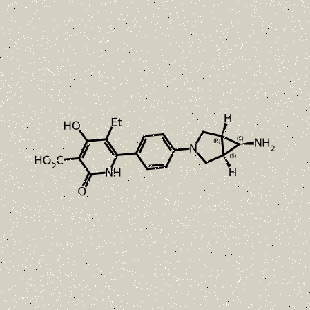 CCc1c(-c2ccc(N3C[C@@H]4[C@@H](N)[C@@H]4C3)cc2)[nH]c(=O)c(C(=O)O)c1O